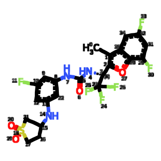 Cc1c([C@@H](NC(=O)Nc2cc(F)cc(NC3CCS(=O)(=O)C3)c2)C(F)(F)F)oc2c(F)cc(F)cc12